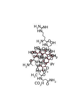 CC(C)[C@H](NC(=O)[C@H](C)NC(=O)CNC(=O)[C@@H](NC(=O)[C@H](CC(N)=O)NC(=O)[C@H](CO)NC(=O)[C@@H](N)CCCNC(=N)N)[C@@H](C)O)C(=O)N[C@H](C(=O)N[C@H](C(=O)N[C@@H](CO)C(=O)N[C@@H](CC(N)=O)C(=O)N[C@@H](Cc1ccc(O)cc1)C(=O)N[C@@H](C)C(=O)N[C@@H](CC(N)=O)C(=O)O)[C@@H](C)O)[C@@H](C)O